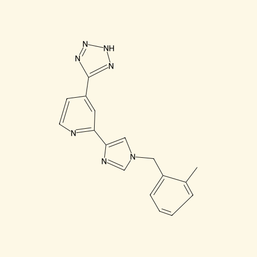 Cc1ccccc1Cn1cnc(-c2cc(-c3nn[nH]n3)ccn2)c1